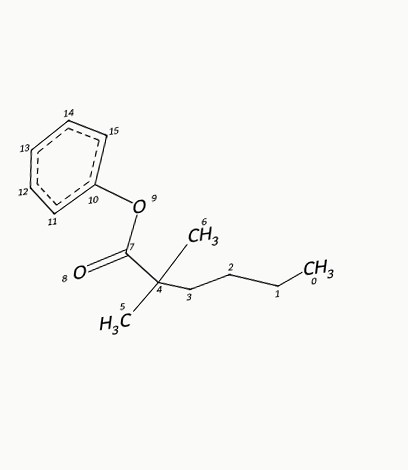 CCCCC(C)(C)C(=O)Oc1ccccc1